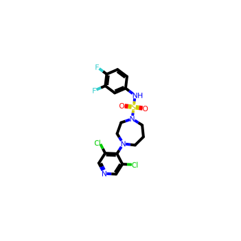 O=S(=O)(Nc1ccc(F)c(F)c1)N1CCCN(c2c(Cl)cncc2Cl)CC1